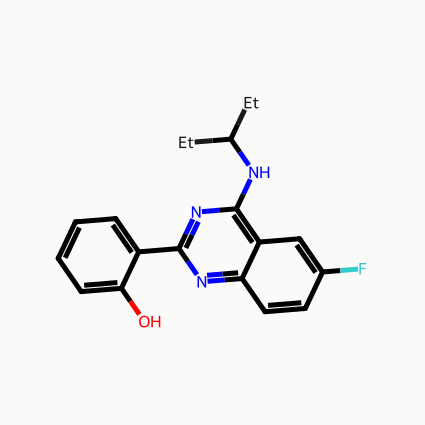 CCC(CC)Nc1nc(-c2ccccc2O)nc2ccc(F)cc12